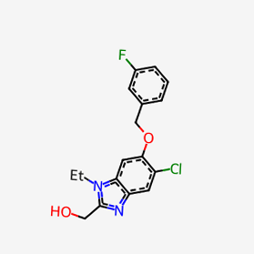 CCn1c(CO)nc2cc(Cl)c(OCc3cccc(F)c3)cc21